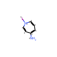 NC1=CC=CN(I)C=C1